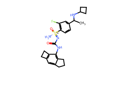 CC(NC1CCC1)c1ccc([S@](N)(=O)=NC(=O)Nc2c3c(cc4c2CC4)CCC3)c(F)c1